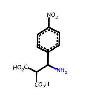 NC(c1ccc([N+](=O)[O-])cc1)C(C(=O)O)C(=O)O